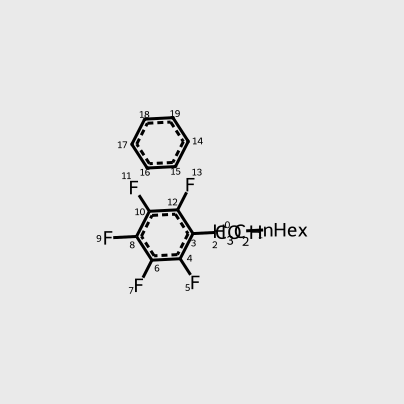 CCCCCCC.O=C(O)c1c(F)c(F)c(F)c(F)c1F.c1ccccc1